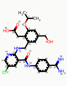 CC(C)Oc1cc(CO)cc(CNc2ncc(Cl)cc2C(=O)Nc2ccc(C(=N)N)cc2)c1CC(=O)O